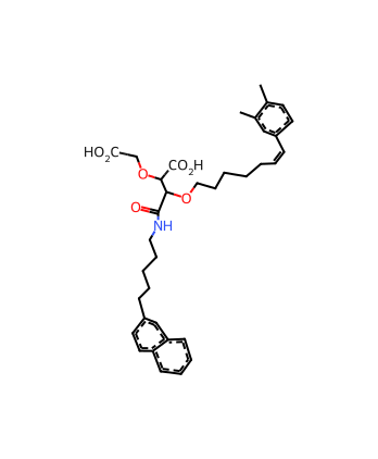 Cc1ccc(/C=C\CCCCCOC(C(=O)NCCCCCc2ccc3ccccc3c2)C(OCC(=O)O)C(=O)O)cc1C